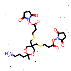 CC1(CCCN)OCC(CSCCC(=O)ON2C(=O)CCC2=O)(CSCCC(=O)ON2C(=O)CCC2=O)CO1